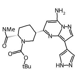 CNC(=O)[C@@H]1CC[C@H](c2cc(N)n3ncc(-c4cn[nH]c4)c3n2)CN1C(=O)OC(C)(C)C